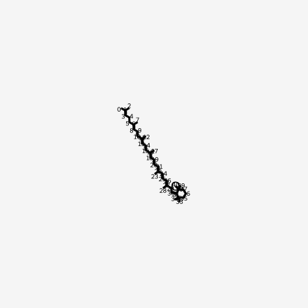 CC(C)=CCC/C(C)=C/C=C/C(C)=C/C=C/C(C)=C/C=C/C=C(C)/C=C/C=C(\C)C1C=C2C(C)(C)CCCC2(C)O1